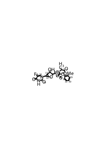 COC(=O)[C@H](C)NP(=O)(OCC1OC2C(C2n2cc(F)c(=O)[nH]c2=O)[C@@H]1O)Oc1ccccc1